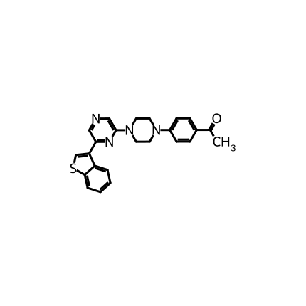 CC(=O)c1ccc(N2CCN(c3cncc(-c4csc5ccccc45)n3)CC2)cc1